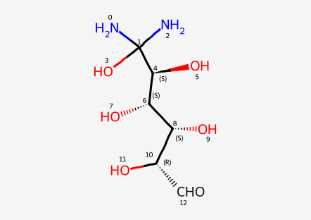 NC(N)(O)[C@@H](O)[C@@H](O)[C@H](O)[C@@H](O)C=O